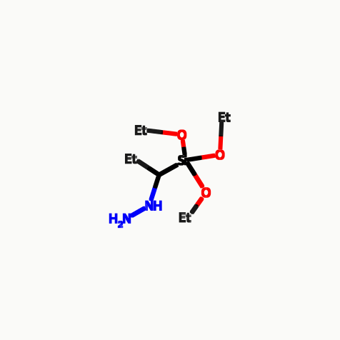 CCO[Si](OCC)(OCC)C(CC)NN